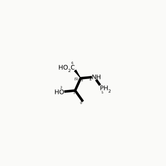 CC(O)[C@H](NP)C(=O)O